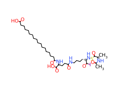 CC(=O)N[C@@H](C)C(=O)SN[C@@H](CCCCNC(=O)CC[C@H](NC(=O)CCCCCCCCCCCCCCCCC(=O)O)C(=O)O)C(=O)I